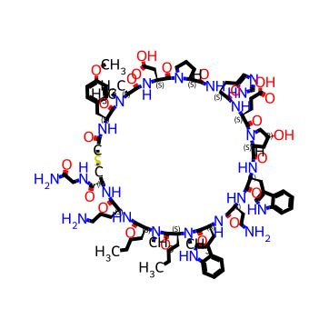 CCCC[C@H]1C(=O)N(C)[C@@H](CCCC)C(=O)N[C@@H](CCCN)C(=O)N[C@H](C(=O)NCC(N)=O)CSCC(=O)N[C@@H](Cc2ccc(OC)cc2)C(=O)N(C)[C@@H](C)C(=O)N[C@@H](CC(=O)O)C(=O)N2CCC[C@H]2C(=O)N[C@@H](Cc2cnc[nH]2)C(=O)N[C@@H](CCC(=O)O)C(=O)N2C[C@H](O)C[C@H]2C(=O)N[C@@H](Cc2c[nH]c3ccccc23)C(=O)N[C@@H](CCN)C(=O)N[C@@H](Cc2c[nH]c3ccccc23)C(=O)N1C